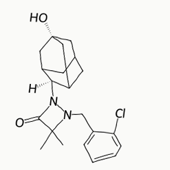 CC1(C)C(=O)N([C@H]2C3CC4CC2C[C@](O)(C4)C3)N1Cc1ccccc1Cl